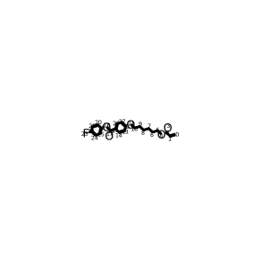 C=CC(=O)OCCCCCCOc1ccc(C(=O)Oc2ccc(F)cc2)cc1